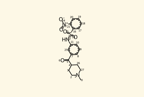 CN1CCC(C(=O)c2cccc(NS(=O)(=O)c3ccccc3[N+](=O)[O-])c2)CC1